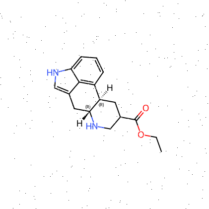 CCOC(=O)C1CN[C@@H]2Cc3c[nH]c4cccc(c34)[C@H]2C1